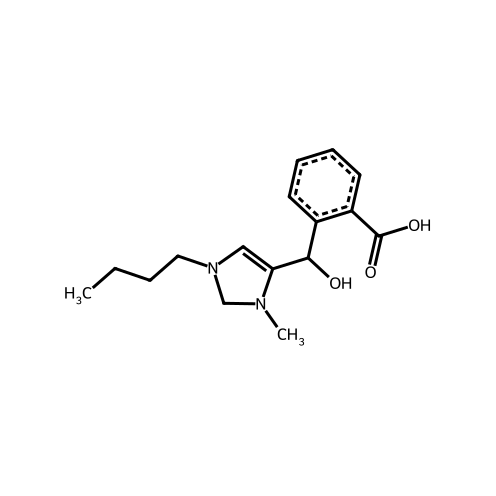 CCCCN1C=C(C(O)c2ccccc2C(=O)O)N(C)C1